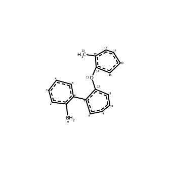 Bc1ccccc1-c1ccccc1Oc1ccccc1C